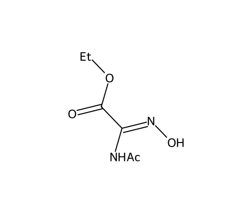 CCOC(=O)/C(=N/O)NC(C)=O